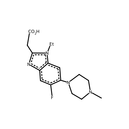 CCn1c(CC(=O)O)nc2cc(F)c(N3CCN(C)CC3)cc21